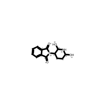 O=C1c2ccccc2C(=O)N1C1CCC(O)NC1O